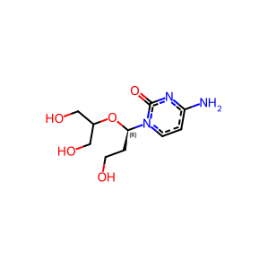 Nc1ccn([C@@H](CCO)OC(CO)CO)c(=O)n1